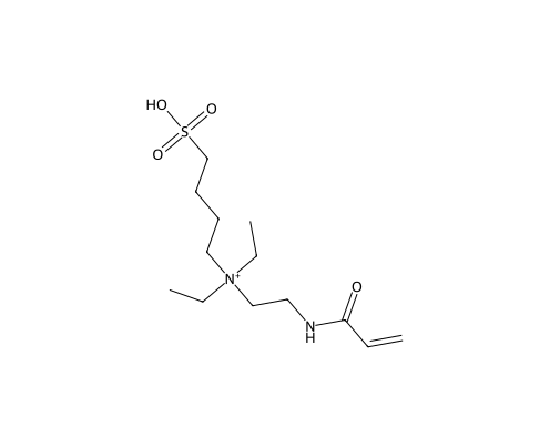 C=CC(=O)NCC[N+](CC)(CC)CCCCS(=O)(=O)O